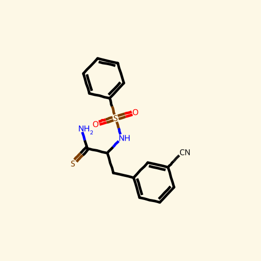 N#Cc1cccc(CC(NS(=O)(=O)c2ccccc2)C(N)=S)c1